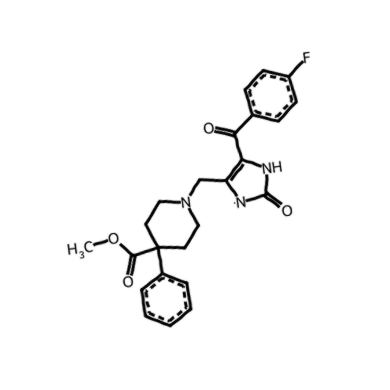 COC(=O)C1(c2ccccc2)CCN(CC2=C(C(=O)c3ccc(F)cc3)NC(=O)[N]2)CC1